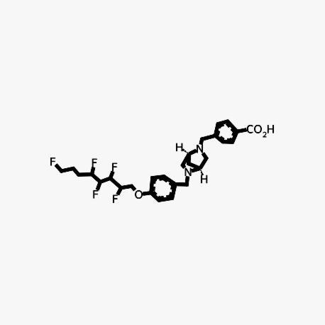 O=C(O)c1ccc(CN2C[C@@H]3C[C@H]2CN3Cc2ccc(OCC(F)C(F)C(F)C(F)CCCF)cc2)cc1